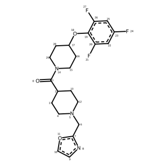 O=C(C1CCN(Cc2ncco2)CC1)N1CCC(Oc2c(F)cc(F)cc2F)CC1